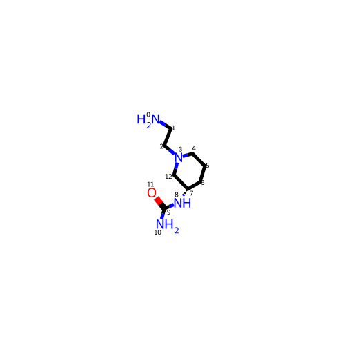 NCCN1CCC[C@H](NC(N)=O)C1